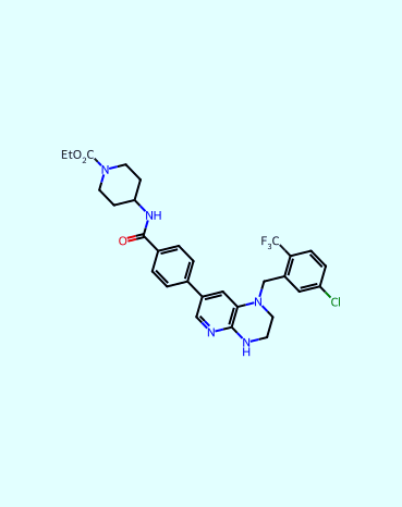 CCOC(=O)N1CCC(NC(=O)c2ccc(-c3cnc4c(c3)N(Cc3cc(Cl)ccc3C(F)(F)F)CCN4)cc2)CC1